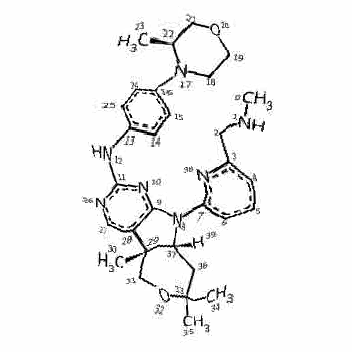 CNCc1cccc(N2c3nc(Nc4ccc(N5CCOC[C@@H]5C)cc4)ncc3[C@@]3(C)COC(C)(C)C[C@@H]23)n1